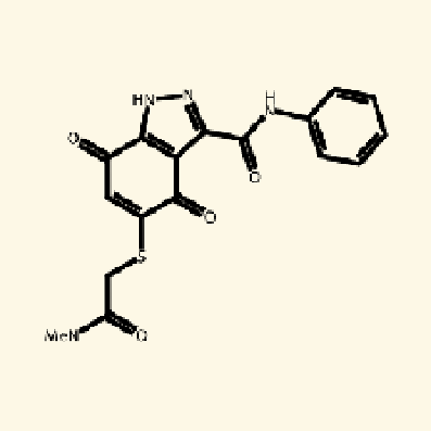 CNC(=O)CSC1=CC(=O)c2[nH]nc(C(=O)Nc3ccccc3)c2C1=O